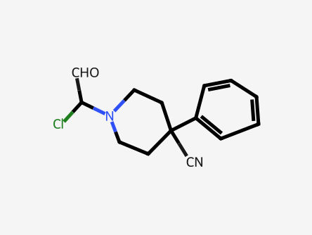 N#CC1(c2ccccc2)CCN(C(Cl)C=O)CC1